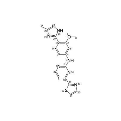 COc1cc(Nc2nccc(-c3nccs3)n2)ccc1-c1nc(C)c[nH]1